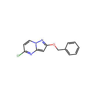 Clc1ccn2nc(OCc3ccccc3)cc2n1